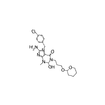 CN1c2nc(N)n(Cc3ccc(Cl)cc3)c2C(=O)N(CCCOC2CCCCO2)C1O